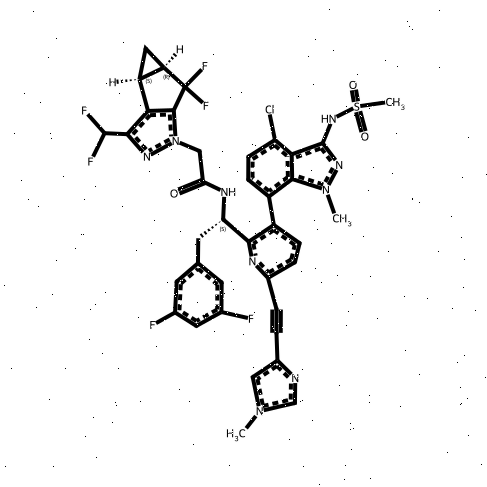 Cn1cnc(C#Cc2ccc(-c3ccc(Cl)c4c(NS(C)(=O)=O)nn(C)c34)c([C@H](Cc3cc(F)cc(F)c3)NC(=O)Cn3nc(C(F)F)c4c3C(F)(F)[C@@H]3C[C@H]43)n2)c1